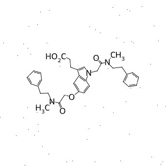 CN(CCc1ccccc1)C(=O)COc1ccc2c(c1)c(CCC(=O)O)cn2CC(=O)N(C)CCc1ccccc1